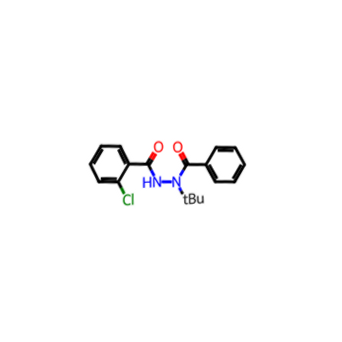 CC(C)(C)N(NC(=O)c1ccccc1Cl)C(=O)c1ccccc1